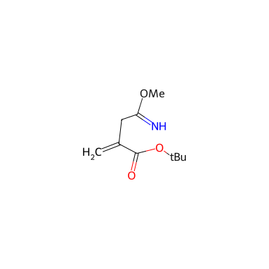 C=C(CC(=N)OC)C(=O)OC(C)(C)C